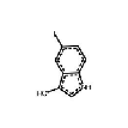 Oc1c[nH]c2ccc(I)cc12